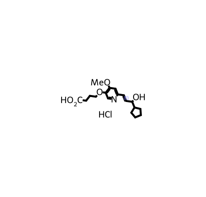 COc1cc(/C=C/C(O)C2CCCC2)ncc1OCCCC(=O)O.Cl